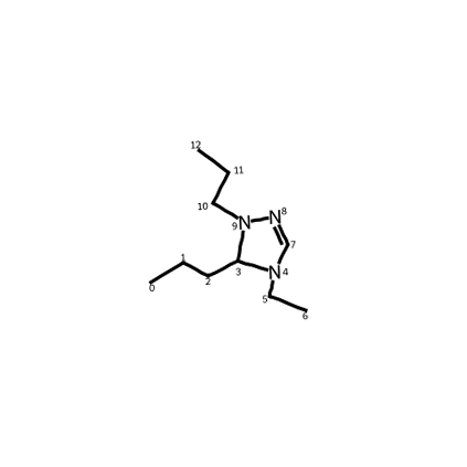 CCCC1N(CC)C=NN1CCC